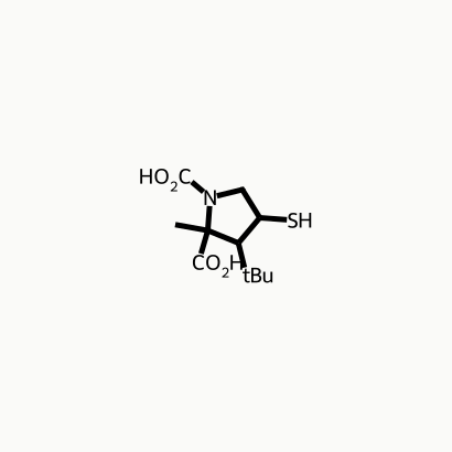 CC(C)(C)C1C(S)CN(C(=O)O)C1(C)C(=O)O